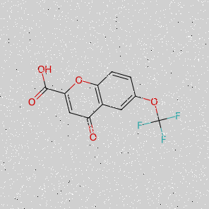 O=C(O)c1cc(=O)c2cc(OC(F)(F)F)ccc2o1